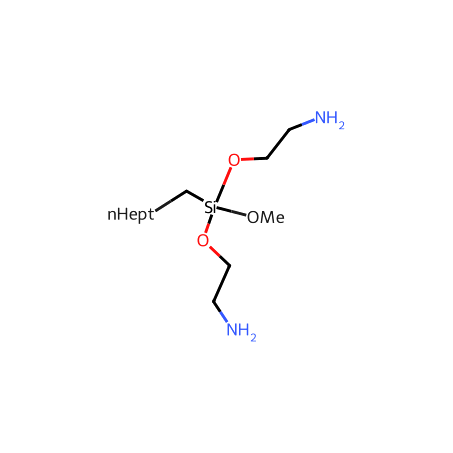 CCCCCCCC[Si](OC)(OCCN)OCCN